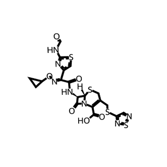 O=CNc1nc(C(=NOC2CC2)C(=O)N[C@@H]2C(=O)N3C(C(=O)O)=C(CSc4cnsn4)CS[C@@H]23)cs1